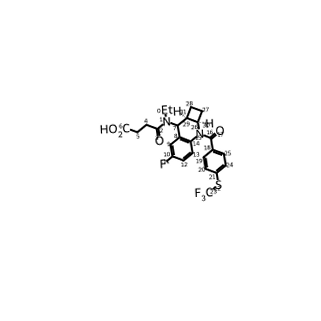 CCN(C(=O)CCC(=O)O)C1c2cc(F)ccc2N(C(=O)c2ccc(SC(F)(F)F)cc2)[C@@H]2CC[C@H]12